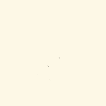 CCOC(=O)c1cnc(NC(=O)NC)nc1Nc1ccc2c(c1)OCCO2